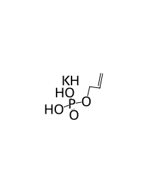 C=CCOP(=O)(O)O.[KH]